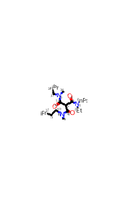 CCCN(CC)C(=O)[C](C(=O)N(C)CCC(C)C)C(=O)N(C)CC(C)C